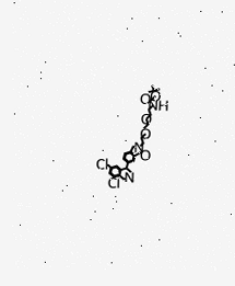 CN1Cc2c(Cl)cc(Cl)cc2C(c2ccc3c(c2)C(=O)N(CCOCCOCCNC(=O)OC(C)(C)C)C3)C1